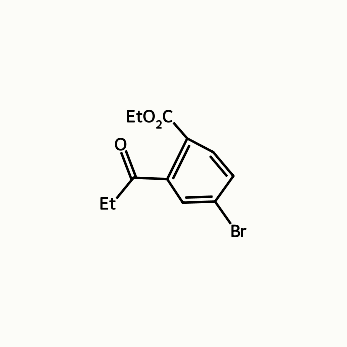 CCOC(=O)c1ccc(Br)cc1C(=O)CC